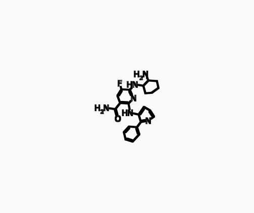 NC(=O)c1cc(F)c(NC2CCCC[C@@H]2N)nc1Nc1cccnc1-c1ccccc1